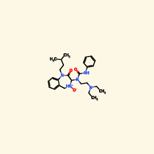 CCN(CC)CCN(C(=O)Nc1ccccc1)C1C(=O)N(CCC(C)C)c2ccccc2C[NH+]1[O-]